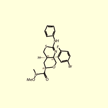 CON(C)C(=O)[C@H]1C[C@H]2CSC(Nc3ccccc3)=N[C@@]2(c2cc(Br)ccc2F)CO1